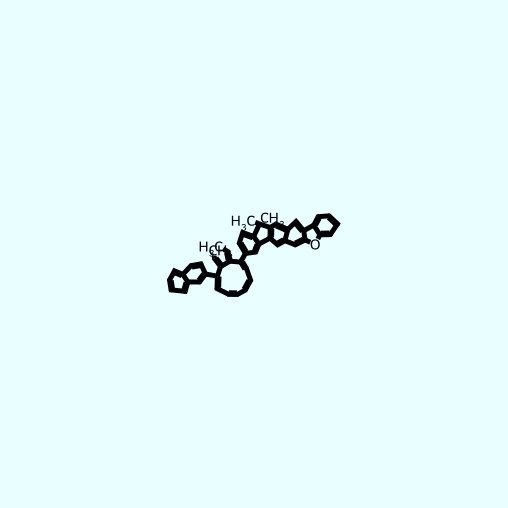 C/C=c1/c(-c2ccc3c(c2)-c2cc4cc5oc6ccccc6c5cc4cc2C3(C)C)ccccccc(-c2ccc3ccccc3c2)/c1=C/C